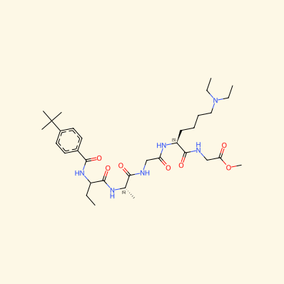 CCC(NC(=O)c1ccc(C(C)(C)C)cc1)C(=O)N[C@@H](C)C(=O)NCC(=O)N[C@@H](CCCCN(CC)CC)C(=O)NCC(=O)OC